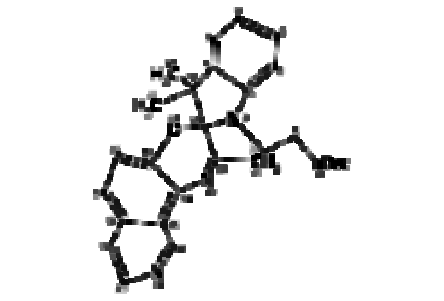 CCCCCCCCCCCCN1c2ccccc2C(C)(C)C12Oc1ccc3ccncc3c1N=C2C